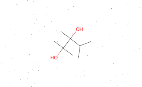 CC(C)C(C)(O)C(C)(C)O